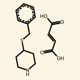 O=C(O)C=CC(=O)O.c1ccc(CSC2CCNCC2)cc1